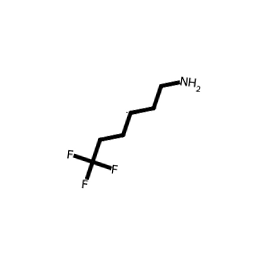 NCC[CH]CCC(F)(F)F